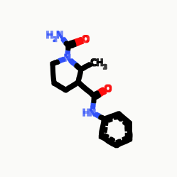 CC1C(C(=O)Nc2ccccc2)CCCN1C(N)=O